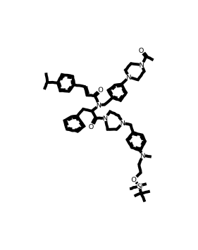 CC(=O)N1CCN(c2ccc(CN(C(=O)C=Cc3ccc(C(C)C)cc3)C(Cc3ccccc3)C(=O)N3CCN(Cc4ccc(N(C)CCO[Si](C)(C)C(C)(C)C)cc4)CC3)cc2)CC1